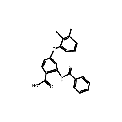 Cc1cccc(Oc2ccc(C(=O)O)c(NC(=O)c3ccccc3)c2)c1C